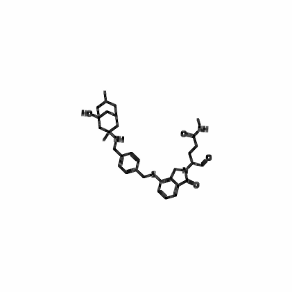 CNC(=O)CCC(C=O)N1Cc2c(SCc3ccc(CNC4(C)CC5CC(C)CC(O)(C5)C4)cc3)cccc2C1=O